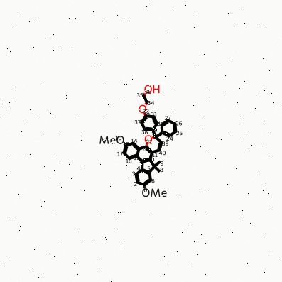 COc1ccc2c(c1)C(C)(C)c1c3c(c4cc(OC)ccc4c1-2)OC(c1ccccc1)(c1ccc(OCCO)cc1)C=C3